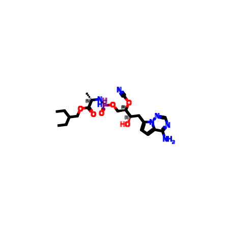 CCC(CC)COC(=O)[C@H](C)N[PH](=O)OC[C@@H](OC#N)[C@@H](O)Cc1ccc2c(N)ncnn12